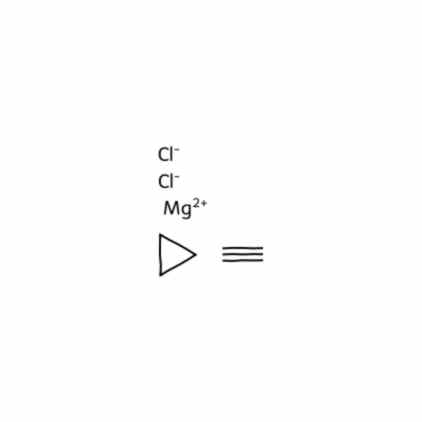 C#C.C1CC1.[Cl-].[Cl-].[Mg+2]